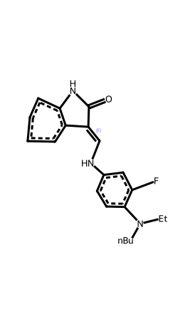 CCCCN(CC)c1ccc(N/C=C2/C(=O)Nc3ccccc32)cc1F